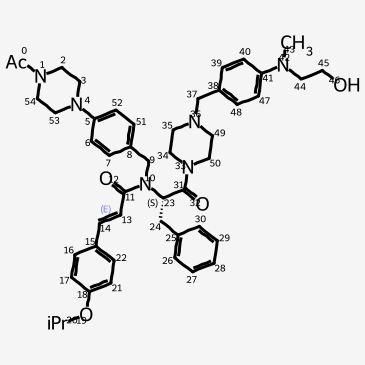 CC(=O)N1CCN(c2ccc(CN(C(=O)/C=C/c3ccc(OC(C)C)cc3)[C@@H](Cc3ccccc3)C(=O)N3CCN(Cc4ccc(N(C)CCO)cc4)CC3)cc2)CC1